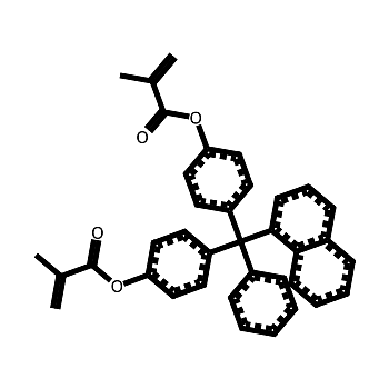 C=C(C)C(=O)Oc1ccc(C(c2ccccc2)(c2ccc(OC(=O)C(=C)C)cc2)c2cccc3ccccc23)cc1